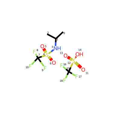 CC(C)NS(=O)(=O)C(F)(F)F.O=S(=O)(O)C(F)(F)F